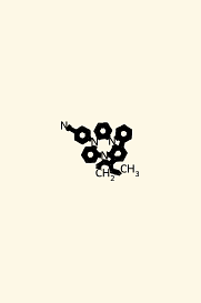 C=Cc1c(/C=C\C)c2ccc3c4ccccc4n4c5ccccc5n(-c5ccc(C#N)cc5)c5ccccc5n1c2c34